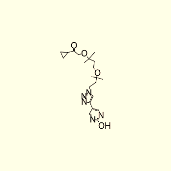 CC(C)(CCn1cc(-c2cnc(O)nc2)nn1)OCCC(C)(C)OCC(=O)C1CC1